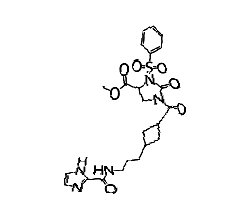 COC(=O)C1CN(C(=O)C2CC(CCCNC(=O)c3ncc[nH]3)C2)C(=O)N1S(=O)(=O)c1ccccc1